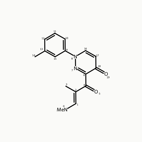 CN/C=C(\C)C(=O)c1nn(-c2cccc(C)c2)ccc1=O